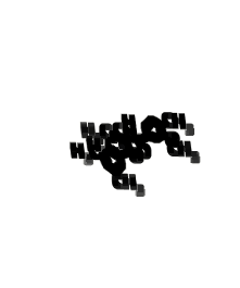 COc1cc(C(=O)NN(C(=O)c2cc(C)cc(C)c2)C(C)(C)C)ccc1C